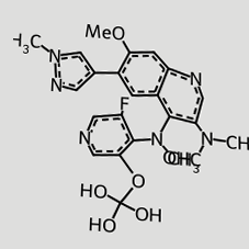 COc1cc2ncc(N(C)C=O)c(N(C)c3c(F)cncc3OC(O)(O)O)c2cc1-c1cnn(C)c1